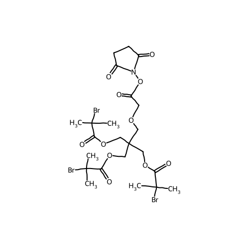 CC(C)(Br)C(=O)OCC(COCC(=O)ON1C(=O)CCC1=O)(COC(=O)C(C)(C)Br)COC(=O)C(C)(C)Br